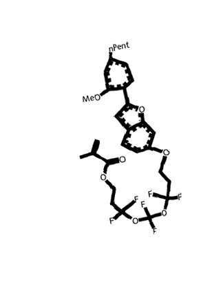 C=C(C)C(=O)OCCC(F)(F)OC(F)(F)OC(F)(F)CCOc1ccc2cc(-c3ccc(CCCCC)cc3OC)oc2c1